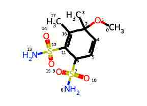 COC1(C)C=CC(S(N)(=O)=O)C(S(N)(=O)=O)=C1C